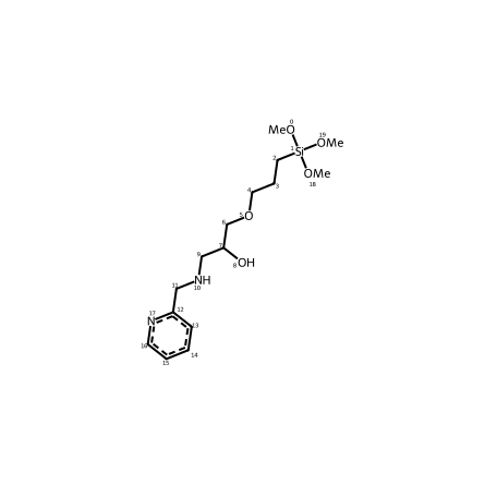 CO[Si](CCCOCC(O)CNCc1ccccn1)(OC)OC